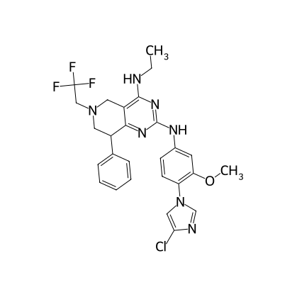 CCNc1nc(Nc2ccc(-n3cnc(Cl)c3)c(OC)c2)nc2c1CN(CC(F)(F)F)CC2c1ccccc1